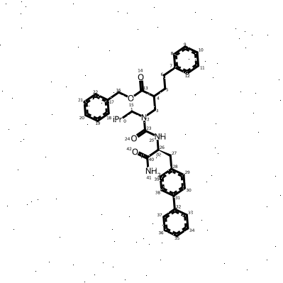 CC(C)CN(CC(CCc1ccccc1)C(=O)OCc1ccccc1)C(=O)N[C@@H](Cc1ccc(-c2ccccc2)cc1)C(N)=O